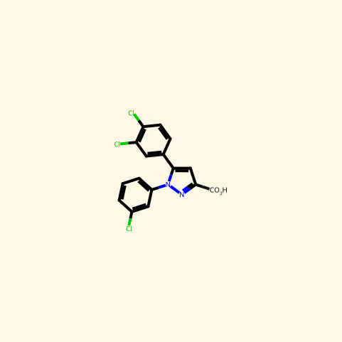 O=C(O)c1cc(-c2ccc(Cl)c(Cl)c2)n(-c2cccc(Cl)c2)n1